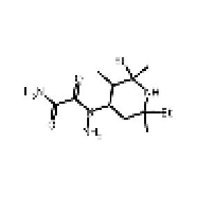 CCC1(C)CC(N(N)C(=O)C(N)=O)C(C)C(C)(CC)N1